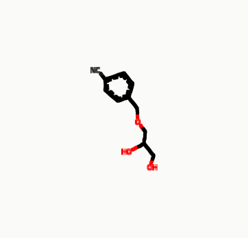 N#Cc1ccc(COCC(O)CO)cc1